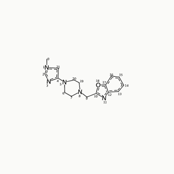 Cn1cnc(N2CCN(Cc3nc4ccccc4o3)CC2)c1